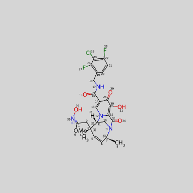 CO/C(C[C@@]1(C)C=C[C@H](C)N2C[C@H]1n1cc(C(=O)NCc3ccc(F)c(Cl)c3F)c(=O)c(O)c1C2=O)=N/O